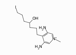 C[n+]1cc(N)c(CCCC(O)CCCI)c(N)c1